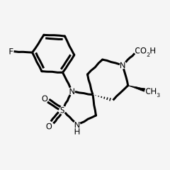 C[C@H]1C[C@]2(CCN1C(=O)O)CNS(=O)(=O)N2c1cccc(F)c1